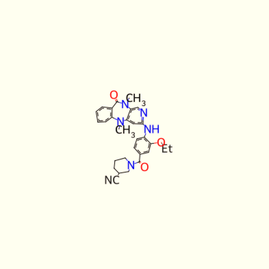 CCOc1cc(C(=O)N2CCCC(C#N)C2)ccc1Nc1cc2c(cn1)N(C)C(=O)c1ccccc1N2C